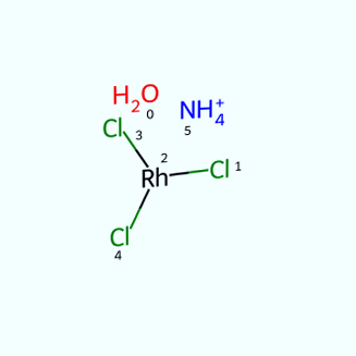 O.[Cl][Rh]([Cl])[Cl].[NH4+]